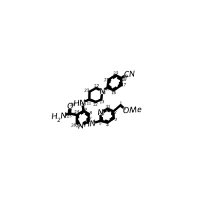 COCc1ccc(Nc2cc(NC3CCN(c4ccc(C#N)cc4)CC3)c(C(N)=O)cn2)nc1